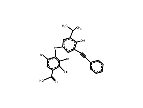 Cc1c(C(=O)O)cc(Br)c(Oc2cc(C#Cc3ccccc3)c(O)c(C(C)C)c2)c1Br